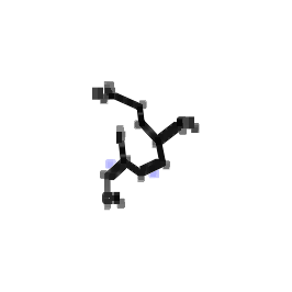 C=C(/C=C\C(F)=C/C)CCN